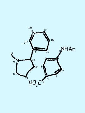 CC(=O)Nc1ccc(C(=O)O)cc1.CN1CCCC1c1cccnc1